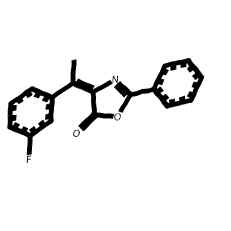 C/C(=C1\N=C(c2ccccc2)OC1=O)c1cccc(F)c1